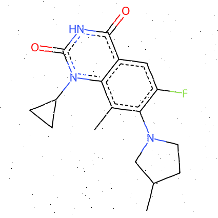 C[C]1CCN(c2c(F)cc3c(=O)[nH]c(=O)n(C4CC4)c3c2C)C1